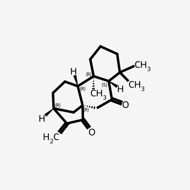 C=C1C(=O)[C@]23CC(=O)[C@H]4C(C)(C)CCC[C@]4(C)[C@H]2CC[C@@H]1C3